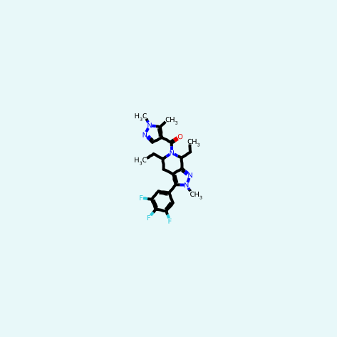 CCC1Cc2c(nn(C)c2-c2cc(F)c(F)c(F)c2)C(CC)N1C(=O)c1cnn(C)c1C